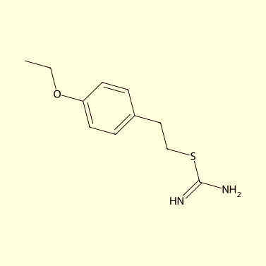 CCOc1ccc(CCSC(=N)N)cc1